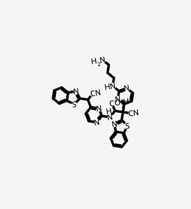 N#CC(c1ccnc(NC(C(=O)O)C(C#N)(c2ccnc(NCCCN)n2)c2nc3ccccc3s2)n1)c1nc2ccccc2s1